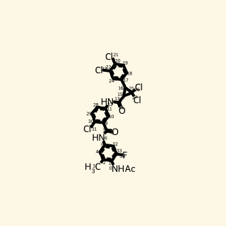 CC(=O)Nc1c(C)cc(NC(=O)c2cc(NC(=O)C3C(c4ccc(Cl)c(Cl)c4)C3(Cl)Cl)ccc2Cl)cc1F